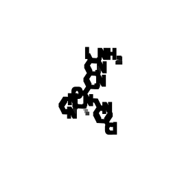 C[C@H](c1ncccn1)N(Cc1ccc(Cl)cn1)C(=O)c1cnc2nc(N)c(I)cc2c1